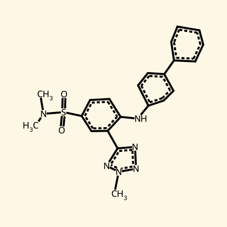 CN(C)S(=O)(=O)c1ccc(Nc2ccc(-c3ccccc3)cc2)c(-c2nnn(C)n2)c1